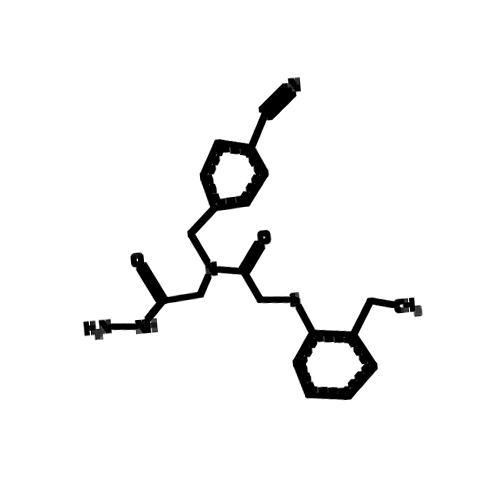 CCc1ccccc1SCC(=O)N(CC(=O)NN)Cc1ccc(C#N)cc1